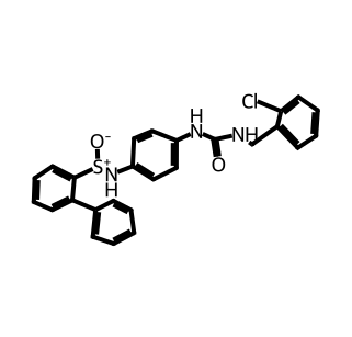 O=C(NCc1ccccc1Cl)Nc1ccc(N[S+]([O-])c2ccccc2-c2ccccc2)cc1